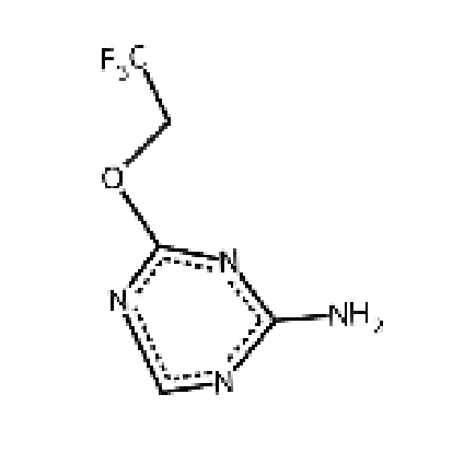 Nc1ncnc(OCC(F)(F)F)n1